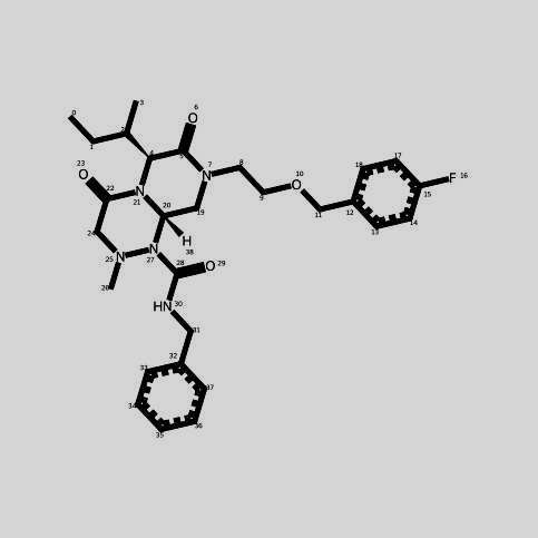 CCC(C)[C@H]1C(=O)N(CCOCc2ccc(F)cc2)C[C@H]2N1C(=O)CN(C)N2C(=O)NCc1ccccc1